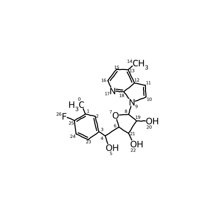 Cc1cc(C(O)C2OC(n3ccc4c(C)ccnc43)C(O)C2O)ccc1F